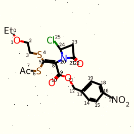 CCOCCSC(SC(C)=O)=C(C(=O)OCc1ccc([N+](=O)[O-])cc1)N1C(=O)CC1Cl